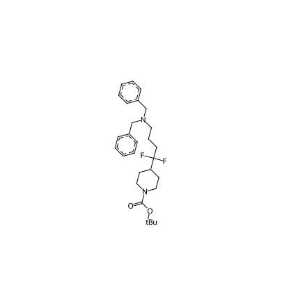 CC(C)(C)OC(=O)N1CCC(C(F)(F)CCCN(Cc2ccccc2)Cc2ccccc2)CC1